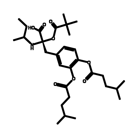 CCC(C)N[C@@](Cc1ccc(OC(=O)CCC(C)C)c(OC(=O)CCC(C)C)c1)(OC(=O)C(C)(C)C)C(=O)O